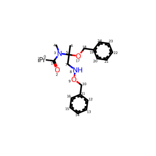 CC(C)C(=O)N(C)C(C)(CNOCc1ccccc1)OCc1ccccc1